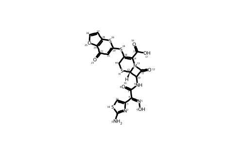 Nc1nc(C(=NO)C(=O)NC2C(=O)N3C(C(=O)O)=C(Sc4cc(=O)c5occc5s4)CS[C@@H]23)cs1